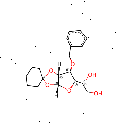 OC[C@@H](O)[C@H]1O[C@@H]2OC3(CCCCC3)O[C@@H]2[C@H]1OCc1ccccc1